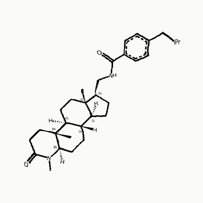 CC(C)Cc1ccc(C(=O)NC[C@H]2CC[C@H]3[C@@H]4CC[C@H]5N(C)C(=O)CC[C@]5(C)[C@H]4CC[C@]23C)cc1